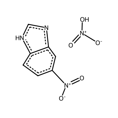 O=[N+]([O-])O.O=[N+]([O-])c1ccc2[nH]cnc2c1